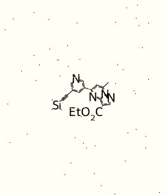 CCOC(=O)c1cnn2c(C)cc(-c3cncc(C#C[Si](C)(C)C)c3)nc12